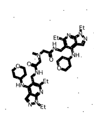 CCc1nc2c(cnn2CC)c(NC2CCOCC2)c1CNC(=O)CN(C)CC(=O)NCc1c(CC)nc2c(cnn2CC)c1NC1CCOCC1